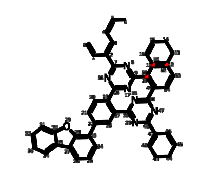 C=C/C(=C\C=C/C)c1nc(CC2=CCCC=C2)nc(-c2ccc(-c3cccc4c3oc3ccccc34)cc2-c2nc(C3=CCCC=C3)nc(-c3ccccc3)n2)n1